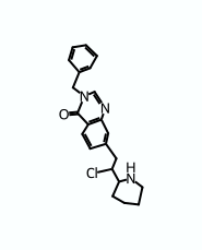 O=c1c2ccc(CC(Cl)C3CCCCN3)cc2ncn1Cc1ccccc1